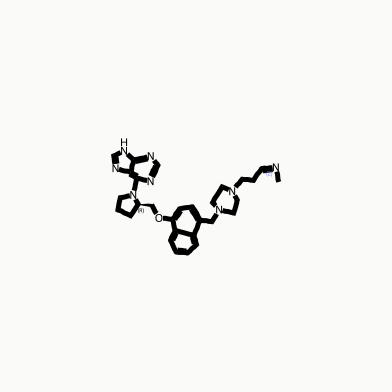 C/N=C\CCN1CCN(Cc2ccc(OC[C@H]3CCCN3c3ncnc4[nH]cnc34)c3ccccc23)CC1